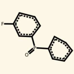 O=[P](c1ccccc1)c1cccc(F)c1